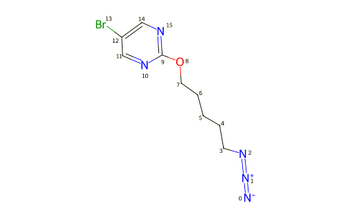 [N-]=[N+]=NCCCCCOc1ncc(Br)cn1